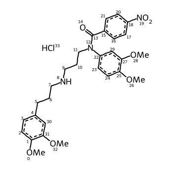 COc1ccc(CCCNCCCN(C(=O)c2ccc([N+](=O)[O-])cc2)c2ccc(OC)c(OC)c2)cc1OC.Cl